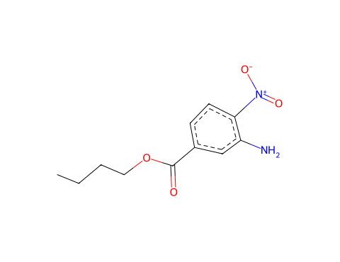 CCCCOC(=O)c1ccc([N+](=O)[O-])c(N)c1